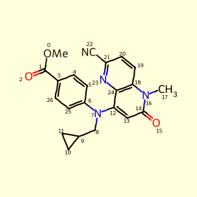 COC(=O)c1ccc(N(CC2CC2)c2cc(=O)n(C)c3ccc(C#N)nc23)cc1